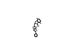 Cc1ccc(C)c2c1C/C(=C/c1nc3sc(-c4ccccc4)cc3s1)C2=O